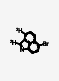 [2H]C1=Nc2ccc(Br)c3ccc([2H])c1c23